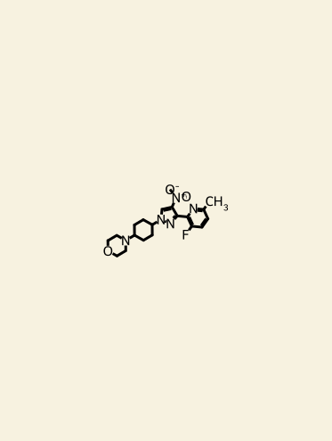 Cc1ccc(F)c(-c2nn(C3CCC(N4CCOCC4)CC3)cc2[N+](=O)[O-])n1